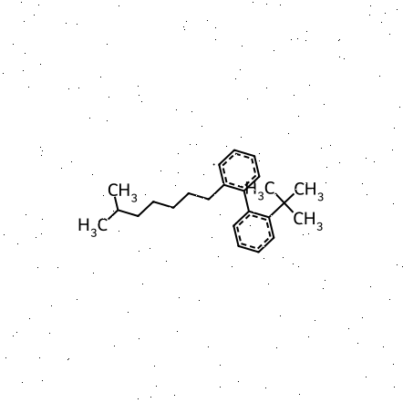 CC(C)CCCCCc1[c]cccc1-c1ccccc1C(C)(C)C